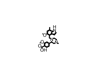 COc1cc(C2CN(C)CCN2Cc2c(OC)cc(C)c3[nH]ccc23)ccc1C(=O)O